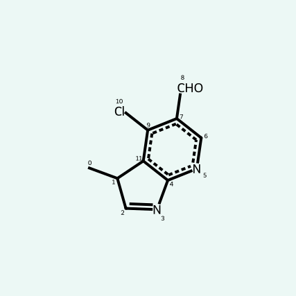 CC1C=Nc2ncc(C=O)c(Cl)c21